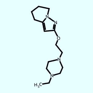 CCN1CCN(CCOc2cc3n(n2)CCCC3)CC1